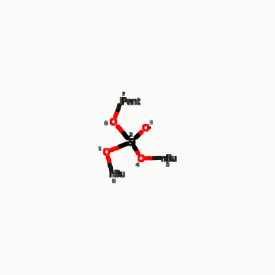 CCCCO[Si]([O])(OCCCC)OC(C)CCC